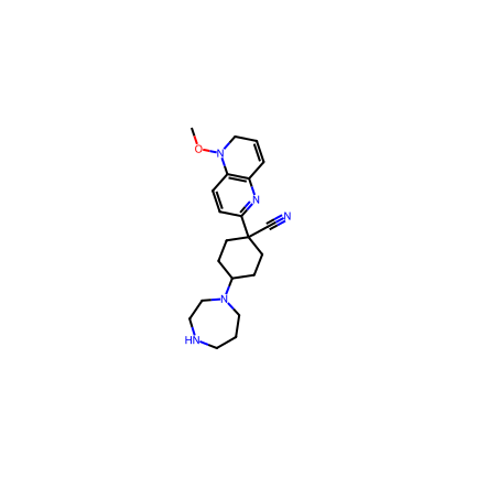 CON1CC=Cc2nc(C3(C#N)CCC(N4CCCNCC4)CC3)ccc21